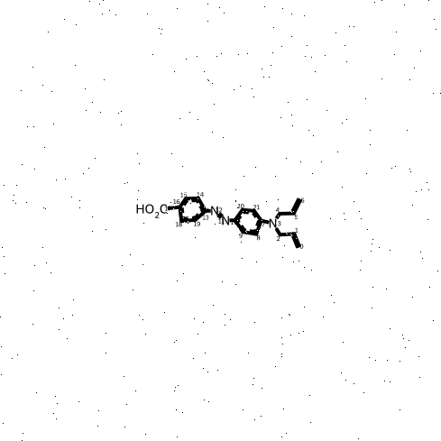 C=CCN(CC=C)c1ccc(N=Nc2ccc(C(=O)O)cc2)cc1